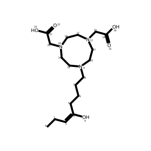 CC/C=C(/O)CCCCN1CCN(CC(=O)O)CCN(CC(=O)O)CC1